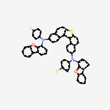 Fc1ccc(N(c2ccc3c(ccc4sc5ccc6cc(N(c7ccc(F)cc7)c7cccc8c7oc7ccccc78)ccc6c5c43)c2)c2cccc3c2oc2ccccc23)cc1